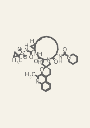 Cc1nc2ccccc2c2c1O[C@]1(CC2)C[C@H]2C(=O)N[C@]3(C(=O)NS(=O)(=O)C4(C)CC4)C[C@H]3/C=C\CCCCC[C@H](NC(=O)N3CCCCC3)C(=O)N2C1